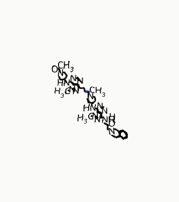 CC(=O)N1CCC(Nc2ncnc3c(C/C=C(\C)N4CCC(Nc5ncnc6c(NCC(O)CN7CCc8ccccc8C7)nn(C)c56)CC4)nn(C)c23)CC1